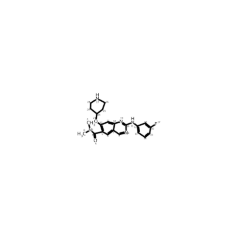 CN(C)C(=O)c1cc2cnc(Nc3cccc(F)c3)nc2cc1OC1CCNCC1